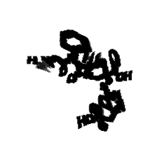 NCC(=O)N(C1=CCC=CC1)C1C(=O)N2CC(CSc3nnc(CS(=O)(=O)O)o3)(C(=O)O)CS[C@H]12